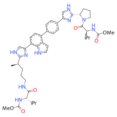 COC(=O)N[C@H](C(=O)NCCC[C@@H](C)c1nc(-c2ccc(-c3ccc(-c4c[nH]c([C@@H]5CCCN5C(=O)[C@@H](NC(=O)OC)C(C)C)n4)cc3)c3cc[nH]c23)c[nH]1)C(C)C